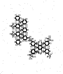 CN1c2cc([Si](C)(C)C)ccc2B2c3ccc([Si](C)(C)C)cc3N(C)c3c2c1c1c2c3N(C)c3cc([Si](C)(C)Cc4ccc5c(c4)B4c6cccc7c6N(c6cc([Si](C)(C)C)cc8c6B7c6ccccc6N8c6ccccc6)c6cc([Si](C)(C)C)cc(c64)N5c4ccccc4)ccc3B2c2ccc([Si](C)(C)C)cc2N1C